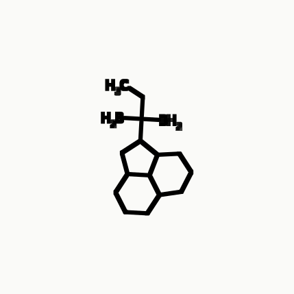 BC(B)(CC)C1CC2CCCC3CCCC1C32